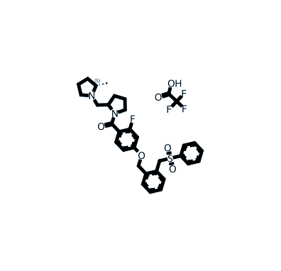 C[C@H]1CCCN1CC1CCCN1C(=O)c1ccc(OCc2ccccc2CS(=O)(=O)c2ccccc2)cc1F.O=C(O)C(F)(F)F